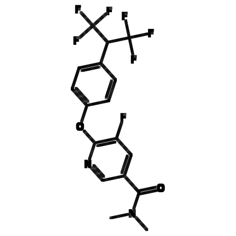 CN(C)C(=O)c1cnc(Oc2ccc(C(C(F)(F)F)C(F)(F)F)cc2)c(F)c1